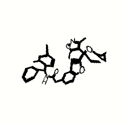 CCC(OC1CC1)(c1cc2cc(CC(=O)NC(c3ccccc3)c3ccc(C)cc3C)ccc2o1)c1c(C)noc1C